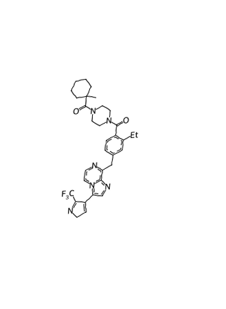 CCc1cc(Cc2nccn3c(C4=CCN=C4C(F)(F)F)cnc23)ccc1C(=O)N1CCN(C(=O)C2(C)CCCCC2)CC1